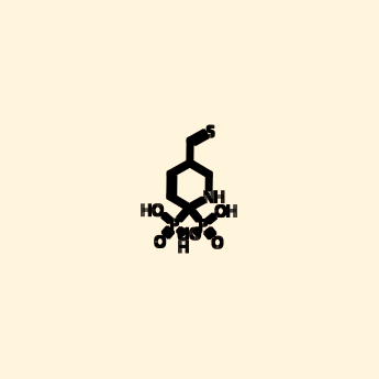 O=P(O)(O)C1(P(=O)(O)O)C=CC(C=S)CN1